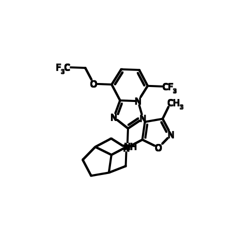 Cc1cc(N2CC3CCC(C2)C3Nc2nc3c(OCC(F)(F)F)ccc(C(F)(F)F)n3n2)on1